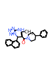 CC1=C(C(=O)N2CCC(c3ccccc3)CC2)C(c2cccc3ccccc23)n2nnnc2N1